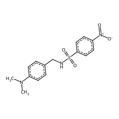 CN(C)c1ccc(CNS(=O)(=O)c2ccc([N+](=O)[O-])cc2)cc1